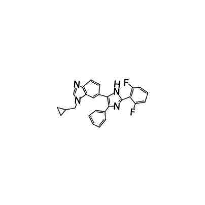 Fc1cccc(F)c1-c1nc(-c2ccccc2)c(-c2ccc3ncn(CC4CC4)c3c2)[nH]1